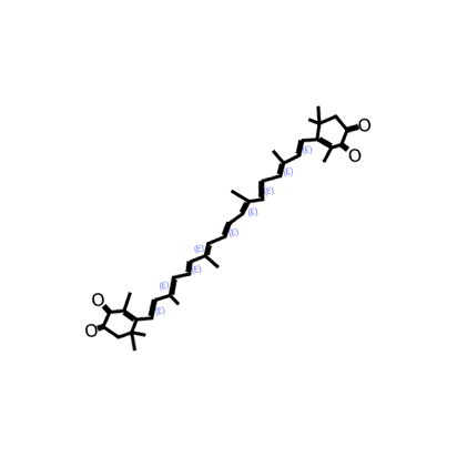 CC1=C(/C=C/C(C)=C/C=C/C(C)=C/C=C/C=C(C)/C=C/C=C(C)/C=C/C2=C(C)C(=O)C(=O)CC2(C)C)C(C)(C)CC(=O)C1=O